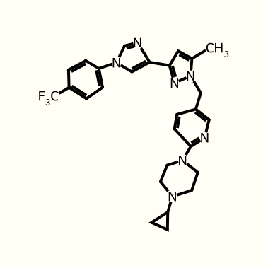 Cc1cc(-c2cn(-c3ccc(C(F)(F)F)cc3)cn2)nn1Cc1ccc(N2CCN(C3CC3)CC2)nc1